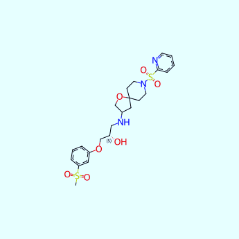 CS(=O)(=O)c1cccc(OC[C@@H](O)CNC2COC3(CCN(S(=O)(=O)c4ccccn4)CC3)C2)c1